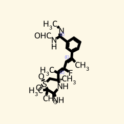 C/N=C(\NC=O)c1cccc(/C(C)=C/C(F)=C(\C)[C@]2(C)CS(=O)(=O)C(C)(C)C(=N)N2)c1